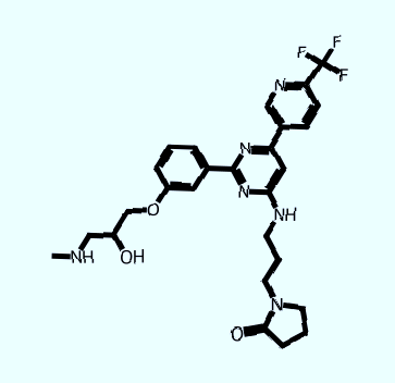 CNCC(O)COc1cccc(-c2nc(NCCCN3CCCC3=O)cc(-c3ccc(C(F)(F)F)nc3)n2)c1